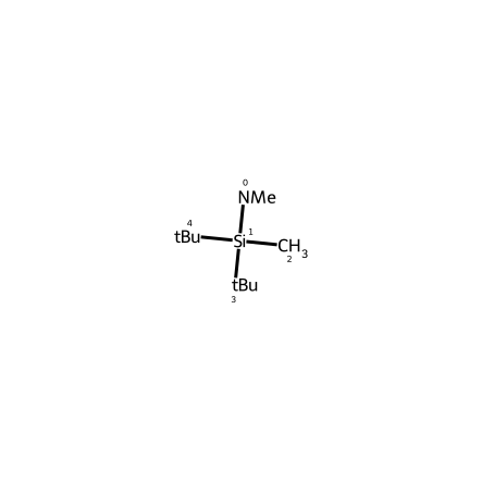 CN[Si](C)(C(C)(C)C)C(C)(C)C